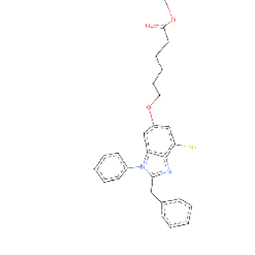 COC(=O)CCCCCOc1cc(S)c2nc(Cc3ccccc3)n(-c3ccccc3)c2c1